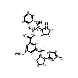 COc1cc(C(=O)N[C@@H](Cc2ccccc2)[C@H](O)C2CCCN2)cc(C(=O)N2CCCC2c2nc(C)cs2)c1